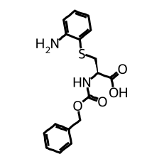 Nc1ccccc1SC[C@H](NC(=O)OCc1ccccc1)C(=O)O